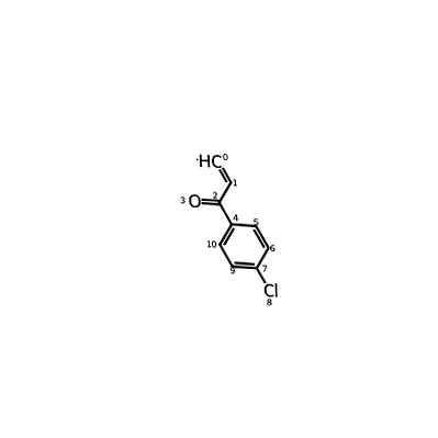 [CH]=CC(=O)c1ccc(Cl)cc1